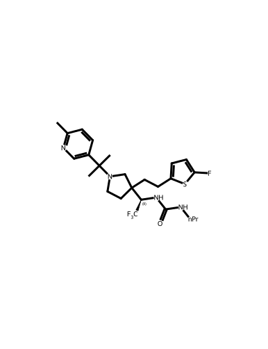 CCCNC(=O)N[C@@H](C(F)(F)F)C1(CCc2ccc(F)s2)CCN(C(C)(C)c2ccc(C)nc2)C1